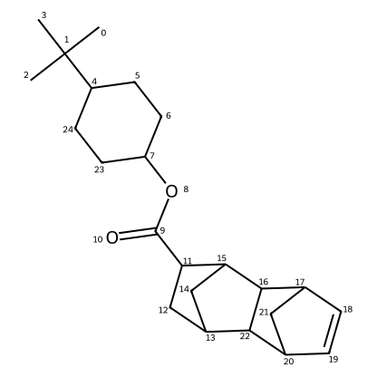 CC(C)(C)C1CCC(OC(=O)C2CC3CC2C2C4C=CC(C4)C32)CC1